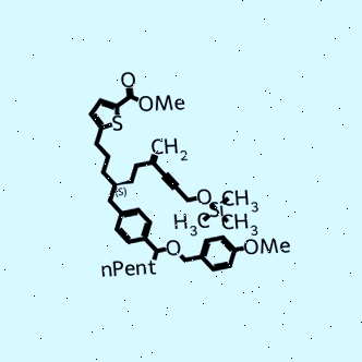 C=C(C#CCO[Si](C)(C)C)CC[C@H](CCCc1ccc(C(=O)OC)s1)Cc1ccc(C(CCCCC)OCc2ccc(OC)cc2)cc1